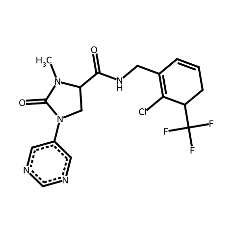 CN1C(=O)N(c2cncnc2)CC1C(=O)NCC1=C(Cl)C(C(F)(F)F)CC=C1